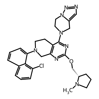 CN1CCC[C@H]1COc1nc2c(c(N3CCn4nncc4C3)n1)CCN(c1cccc3cccc(Cl)c13)C2